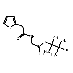 CC(C)(O)C(C)(C)OB(O)CNC(=O)Cc1cccs1